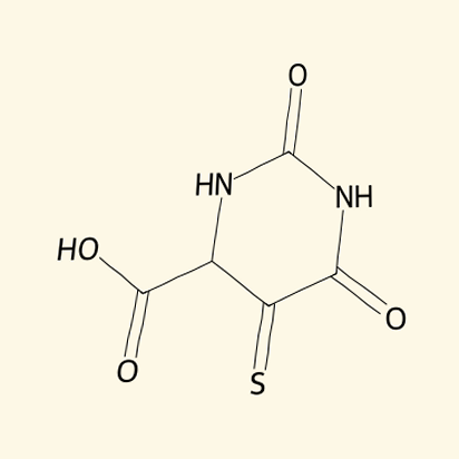 O=C1NC(=O)C(=S)C(C(=O)O)N1